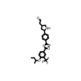 CCC(C)Oc1ccc(-c2nc(-c3ccc(C4CC(CC=O)CN4)cc3)no2)cc1C(F)(F)F